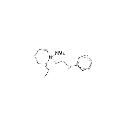 CC=C1CCCC[N+]1(CCOc1ccccc1)NC